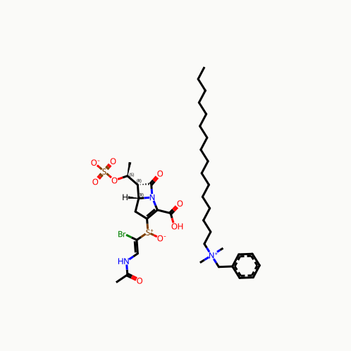 CC(=O)NC=C(Br)[S+]([O-])C1=C(C(=O)O)N2C(=O)[C@@H]([C@H](C)OS(=O)(=O)[O-])[C@H]2C1.CCCCCCCCCCCCCCCC[N+](C)(C)Cc1ccccc1